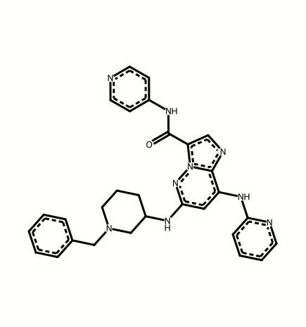 O=C(Nc1ccncc1)c1cnc2c(Nc3ccccn3)cc(NC3CCCN(Cc4ccccc4)C3)nn12